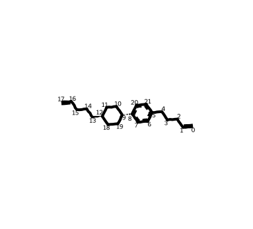 C=CCCCc1ccc([C@H]2CC[C@H](CCCC=C)CC2)cc1